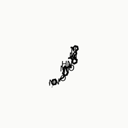 Cc1cccc(Cn2nc(C)c3c(NC(=O)c4cnc5cc(OCCN6CCN(C)[C@@H](C)C6)ccn45)cccc32)n1